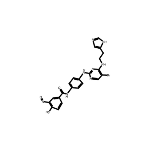 O=Nc1cc(C(=O)Nc2ccc(Nc3ncc(Br)c(NCCc4cnc[nH]4)n3)cc2)ccc1S